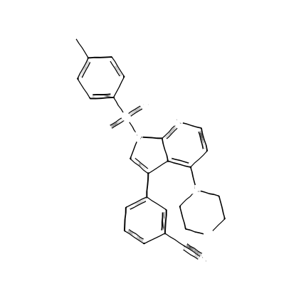 Cc1ccc(S(=O)(=O)n2cc(-c3cccc(C#N)c3)c3c(N4CCOCC4)ccnc32)cc1